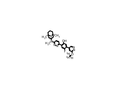 [2H]C([2H])([2H])Oc1cc(-c2cc(O)c(-c3ccc(N(C)C4C[C@]5(C)CCC[C@](C)(C4)N5)nn3)cc2F)cnn1